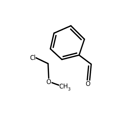 COCCl.O=Cc1ccccc1